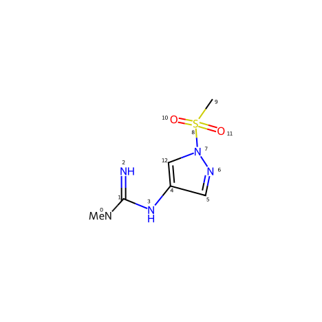 CNC(=N)Nc1cnn(S(C)(=O)=O)c1